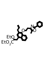 C=CCc1cc(CC(OCC)C(=O)OCC)c2ccccc2c1OCCc1nc(-c2ccccc2)oc1C